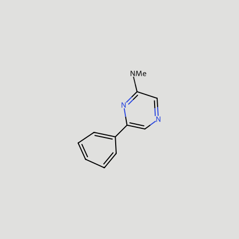 CNc1cncc(-c2ccccc2)n1